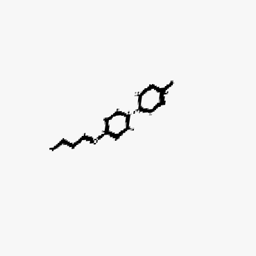 CCCCO[C@H]1CC[C@H](C2CCC(C)CC2)CC1